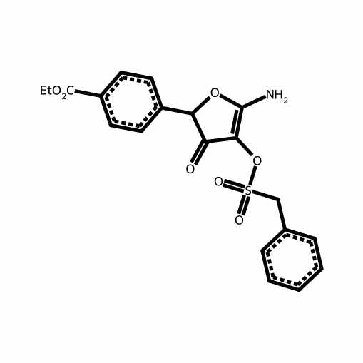 CCOC(=O)c1ccc(C2OC(N)=C(OS(=O)(=O)Cc3ccccc3)C2=O)cc1